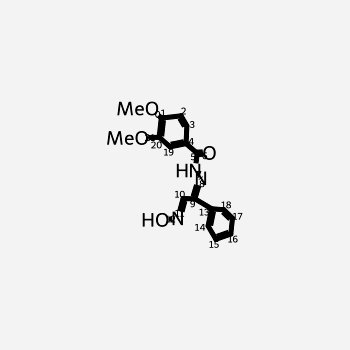 COc1ccc(C(=O)N/N=C(\C=N\O)c2ccccc2)cc1OC